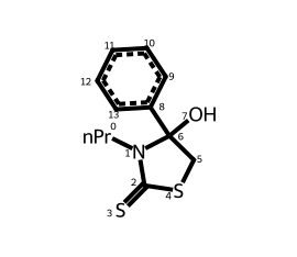 CCCN1C(=S)SCC1(O)c1ccccc1